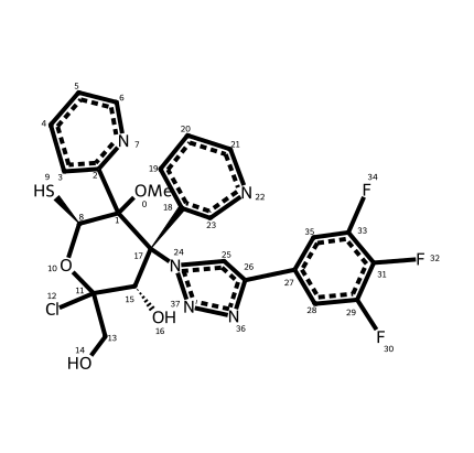 COC1(c2ccccn2)[C@H](S)OC(Cl)(CO)[C@@H](O)[C@@]1(c1cccnc1)n1cc(-c2cc(F)c(F)c(F)c2)nn1